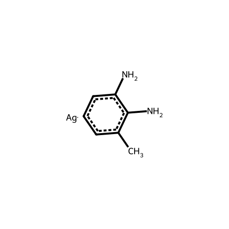 Cc1cccc(N)c1N.[Ag]